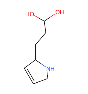 OC(O)CCC1C=CCN1